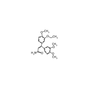 CCOc1cc(C(=CC(N)=O)c2ccc(OC)c(OC)c2)ccc1OC